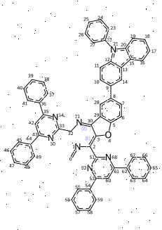 C=N/C(=C1/Oc2ccc(-c3ccc4c(c3)c3ccccc3n4-c3ccccc3)cc2/C1=N/Cc1nc(-c2ccccc2)cc(-c2ccccc2)n1)c1nc(-c2ccccc2)cc(-c2ccccc2)n1